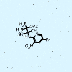 BC(B)(OC(C)=O)C(C)(CCC)Nc1ncc(Br)cc1[N+](=O)[O-]